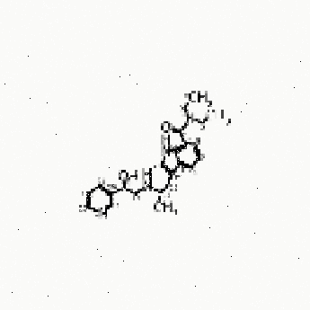 CCN(CC)C(=O)c1cccc2c(C[C@@H](C)NC[C@H](O)c3cccnc3)c[nH]c12